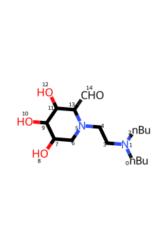 CCCCN(CCCC)CCN1CC(O)C(O)C(O)C1C=O